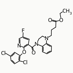 CCOC(=O)CCCN1CCN(C(=O)c2cc(F)cnc2Oc2cc(Cl)ccc2Cl)c2ccccc21